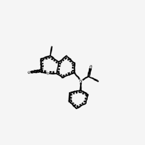 CC(=O)N(c1ccccc1)c1ccc2c(C)cc(=O)oc2c1